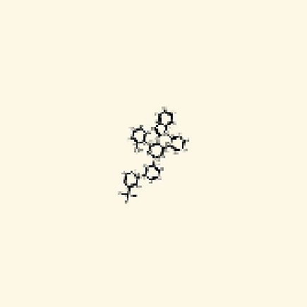 CC(C)(C)c1ccnc(-c2cccc(-c3cc(-c4ccccc4-n4ccc5ccccc54)cc(-c4ccccc4O)n3)c2)c1